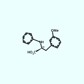 COc1cccc(C[C@H](Nc2ccccc2)C(=O)O)c1